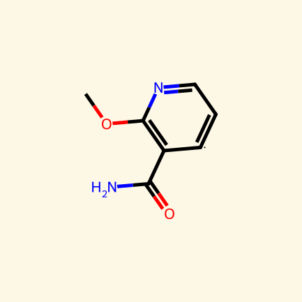 COc1ncc[c]c1C(N)=O